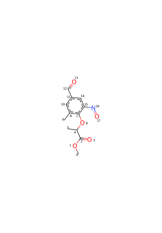 COC(=O)C(C)Oc1c(C)cc(C=O)cc1N=O